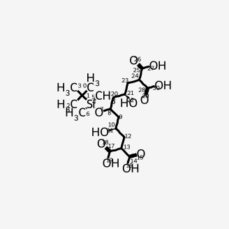 CC(C)(C)[Si](C)(C)OC(C[C@H](O)CC(C(=O)O)C(=O)O)C[C@H](O)CC(C(=O)O)C(=O)O